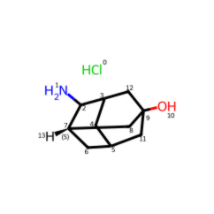 Cl.NC1C2CC3C[C@H]1CC(O)(C3)C2